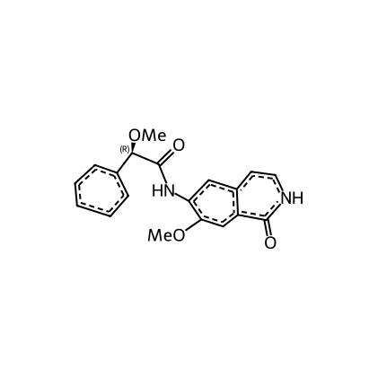 COc1cc2c(=O)[nH]ccc2cc1NC(=O)[C@H](OC)c1ccccc1